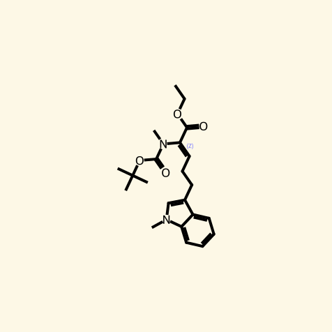 CCOC(=O)/C(=C/CCc1cn(C)c2ccccc12)N(C)C(=O)OC(C)(C)C